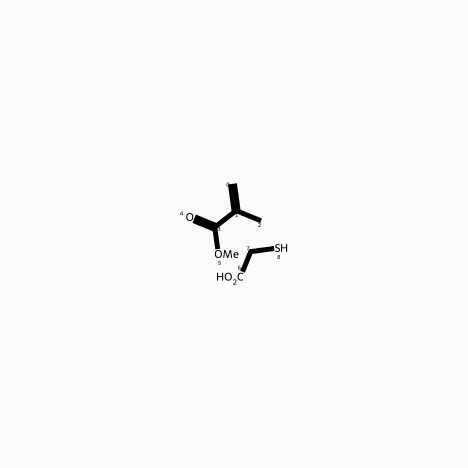 C=C(C)C(=O)OC.O=C(O)CS